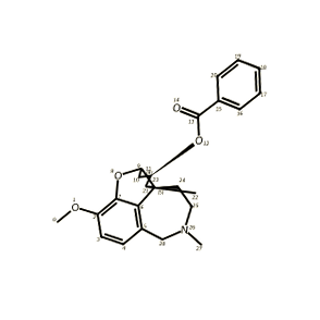 COc1ccc2c3c1OC1C[C@@H](OC(=O)c4ccccc4)C(C)[C@@]31CCN(C)C2